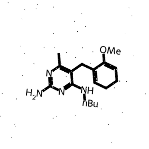 CCCCNc1nc(N)nc(C)c1CC1=CC[CH]C=C1OC